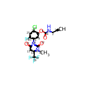 C#CCNC(=O)Oc1cc(-n2c(=O)cc(C(F)(F)F)n(C)c2=O)c(F)cc1Cl